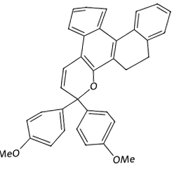 COc1ccc(C2(c3ccc(OC)cc3)C=Cc3c(c4c(c5ccccc35)-c3ccccc3CC4)O2)cc1